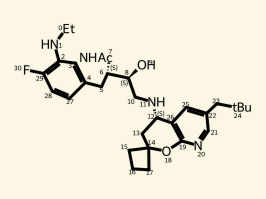 CCNc1cc(C[C@H](NC(C)=O)[C@@H](O)CN[C@H]2CC3(CCC3)Oc3ncc(CC(C)(C)C)cc32)ccc1F